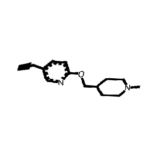 C#Cc1ccc(OCC2CCN(C)CC2)nc1